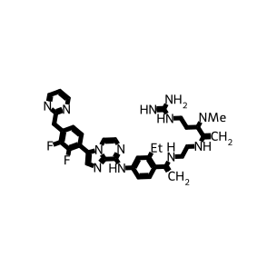 C=C(NCCNC(=C)C(CCNC(=N)N)NC)c1ccc(Nc2nccn3c(-c4ccc(Cc5ncccn5)c(F)c4F)cnc23)cc1CC